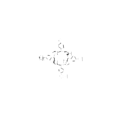 Oc1ccc(-c2c3nc(c(-c4ccc(Cl)cc4)c4ccc([nH]4)c(-c4ccc(Cl)cc4)c4nc(c(-c5ccc(Cl)cc5)c5ccc2[nH]5)C=C4)C=C3)cc1.[Ni]